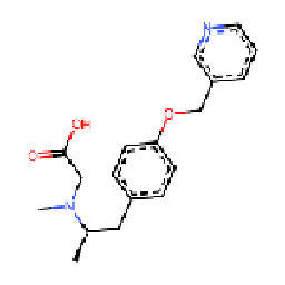 C[C@H](Cc1ccc(OCc2cccnc2)cc1)N(C)CC(=O)O